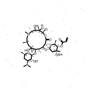 C=CC(=O)O[C@H]1[C@H](C)O[C@@H](O[C@H]2[C@H](C)[C@@H](O[C@@H]3O[C@H](C)C[C@H](N(C)C)[C@H]3O)[C@](C)(O)C[C@@H](C)CN(C)[C@H](C)[C@@H](O)[C@](C)(O)[C@@H](CC)OC(=O)[C@@H]2C)C[C@@]1(C)OC